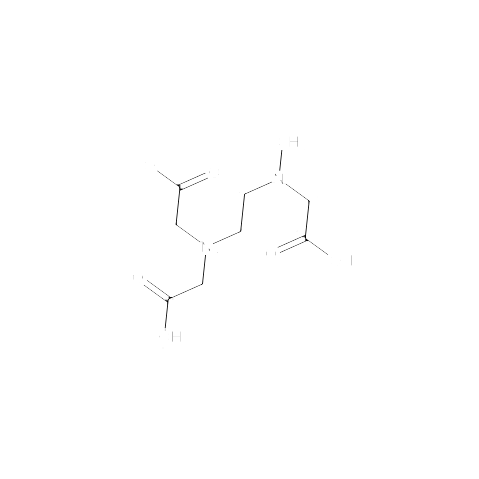 CN(CCN(CC(=O)O)CC(=O)O)CC(=O)O